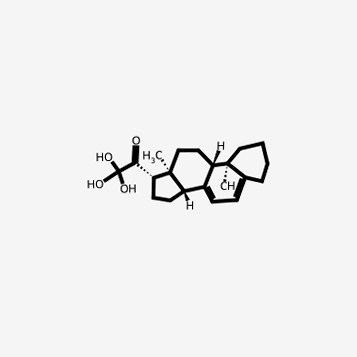 C[C@]12CC[C@H]3C(=CC=C4CCCC[C@@]43C)[C@@H]1CC[C@@H]2C(=O)C(O)(O)O